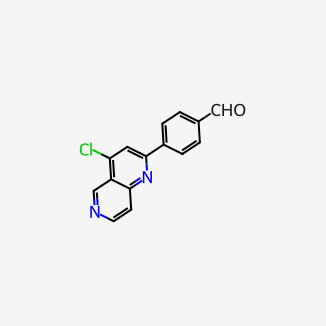 O=Cc1ccc(-c2cc(Cl)c3cnccc3n2)cc1